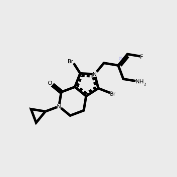 NC/C(=C\F)Cn1c(Br)c2c(c1Br)C(=O)N(C1CC1)CC2